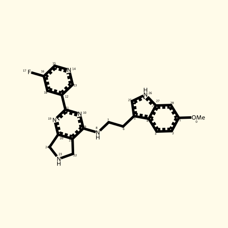 COc1ccc2c(CCNc3nc(-c4cncc(F)c4)nc4c3CNC4)c[nH]c2c1